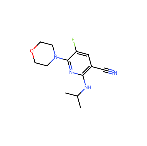 CC(C)Nc1nc(N2CCOCC2)c(F)cc1C#N